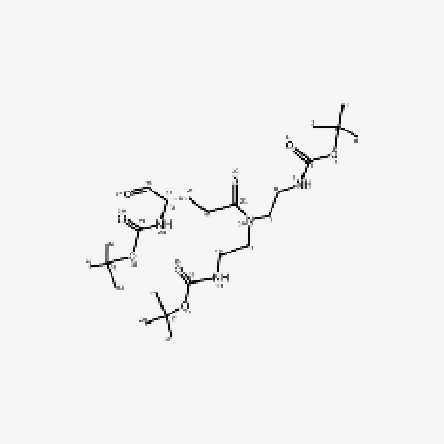 CC(C)(C)OC(=O)NCCN(CCNC(=O)OC(C)(C)C)C(=S)CC[C@@H](C=O)NC(=O)OC(C)(C)C